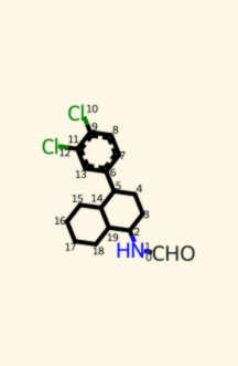 O=CNC1CCC(c2ccc(Cl)c(Cl)c2)C2CCCCC12